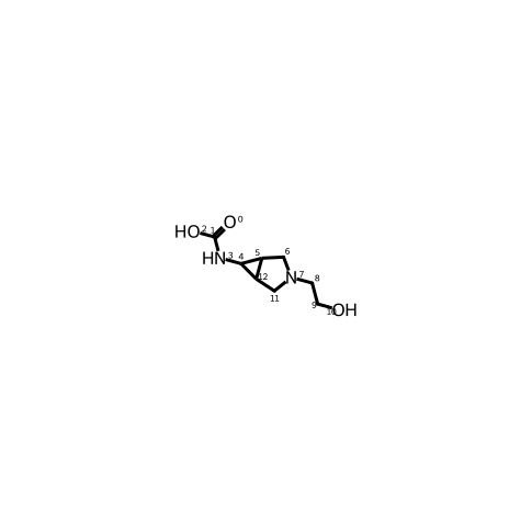 O=C(O)NC1C2CN(CCO)CC21